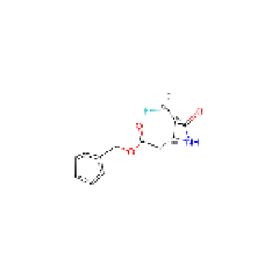 C[C@@H](F)[C@H]1C(=O)N[C@@H]1CC(=O)OCc1ccccc1